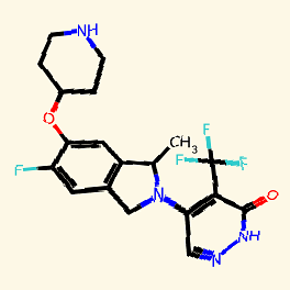 CC1c2cc(OC3CCNCC3)c(F)cc2CN1c1cn[nH]c(=O)c1C(F)(F)F